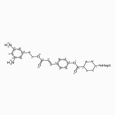 CCCCCCCC1CCC(C(=O)Oc2ccc(/C=C/C(=O)OCCc3cc(N)cc(N)c3)cc2)CC1